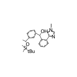 CC(O[Si](C)(C)C(C)(C)C)c1cccc(C(O)c2ccccc2-c2cn(I)cn2)c1